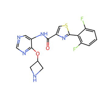 O=C(Nc1cncnc1OC1CNC1)c1csc(-c2c(F)cccc2F)n1